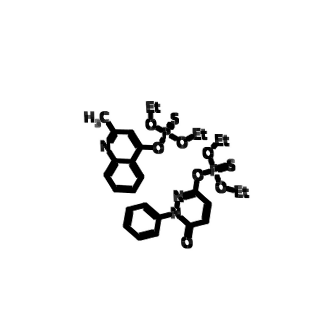 CCOP(=S)(OCC)Oc1cc(C)nc2ccccc12.CCOP(=S)(OCC)Oc1ccc(=O)n(-c2ccccc2)n1